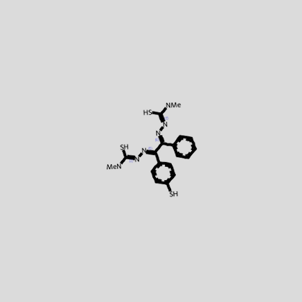 CN/C(S)=N/N=C(/C(=N/N=C(\S)NC)c1ccc(S)cc1)c1ccccc1